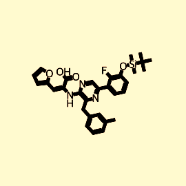 Cc1cccc(Cc2nc(-c3cccc(O[Si](C)(C)C(C)(C)C)c3F)cnc2NC(=Cc2ccco2)C(=O)O)c1